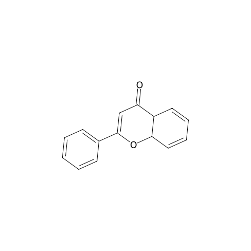 O=C1C=C(c2ccccc2)OC2C=CC=CC12